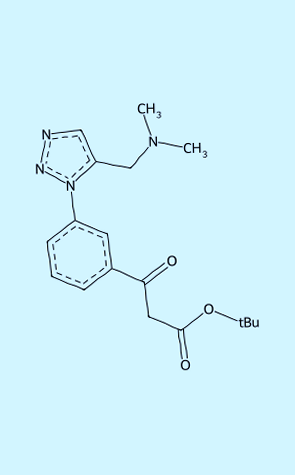 CN(C)Cc1cnnn1-c1cccc(C(=O)CC(=O)OC(C)(C)C)c1